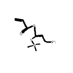 C=CC(=O)OC(CC[SiH3])O[Si](C)(C)C